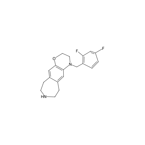 Fc1ccc(CN2CCOc3cc4c(cc32)CCNCC4)c(F)c1